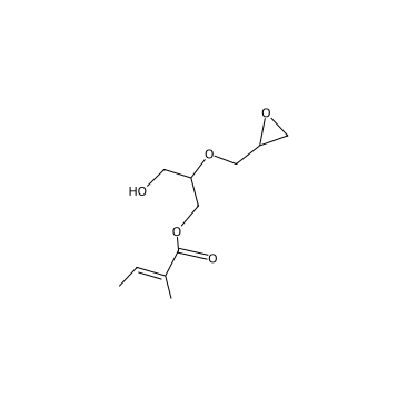 CC=C(C)C(=O)OCC(CO)OCC1CO1